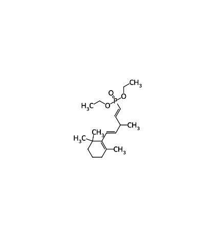 CCOP(=O)(/C=C/C(C)/C=C/C1=C(C)CCCC1(C)C)OCC